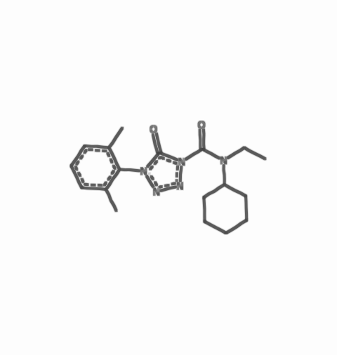 CCN(C(=O)n1nnn(-c2c(C)cccc2C)c1=O)C1CCCCC1